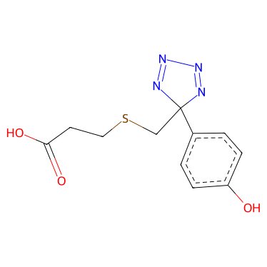 O=C(O)CCSCC1(c2ccc(O)cc2)N=NN=N1